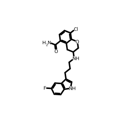 NC(=O)c1ccc(Cl)c2c1CC(NCCCc1c[nH]c3ccc(F)cc13)CO2